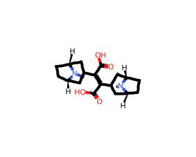 CN1[C@@H]2CC[C@H]1CC(C(C(=O)O)=C(C(=O)O)C1C[C@H]3CC[C@@H](C1)N3C)C2